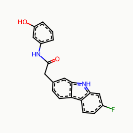 O=C(Cc1ccc2c(c1)[nH]c1cc(F)ccc12)Nc1cccc(O)c1